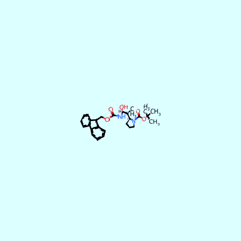 C[C@H]([C@@H](O)NC(=O)OCC1c2ccccc2-c2ccccc21)[C@@H]1CCCN1C(=O)OC(C)(C)C